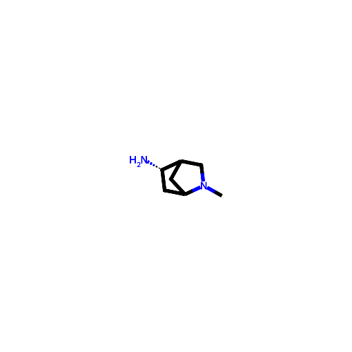 CN1CC2CC1C[C@@H]2N